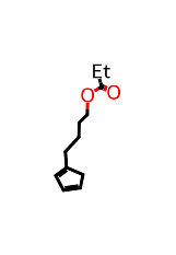 CCC(=O)OCCCCC1=CC=CC1